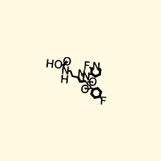 O=C(O)NCCc1cc(S(=O)(=O)c2ccc(F)cc2)n(-c2cccnc2F)n1